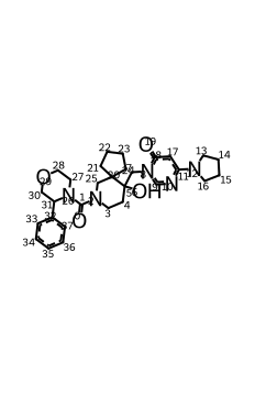 O=C(N1CCC(O)(Cn2cnc(N3CCCC3)cc2=O)C2(CCCC2)C1)N1CCOCC1c1ccccc1